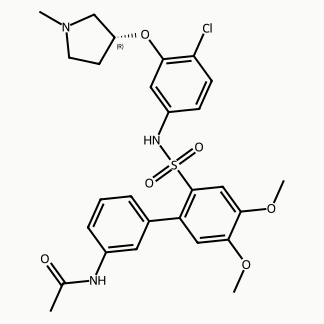 COc1cc(-c2cccc(NC(C)=O)c2)c(S(=O)(=O)Nc2ccc(Cl)c(O[C@@H]3CCN(C)C3)c2)cc1OC